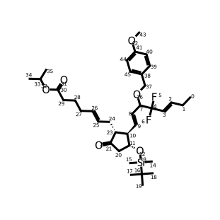 CCC=CC(F)(F)C(C=C[C@H]1[C@H](O[Si](C)(C)C(C)(C)C)CC(=O)[C@@H]1CC=CCCCC(=O)OC(C)C)OCc1ccc(OC)cc1